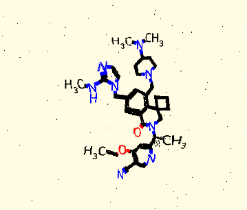 CCOc1cc([C@H](C)N2CC3(CCC3)c3c(CN4CCC(N(C)C)CC4)cc(Cn4ccnc4NC)cc3C2=O)ncc1C#N